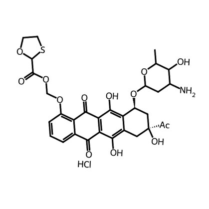 CC(=O)[C@]1(O)Cc2c(O)c3c(c(O)c2[C@@H](OC2CC(N)C(O)C(C)O2)C1)C(=O)c1c(OCOC(=O)C2OCCS2)cccc1C3=O.Cl